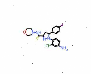 Nc1ccc(N2N=C(C(=S)NN3CCOCC3)CC2C2C=CC(I)=CC2)c(Cl)c1